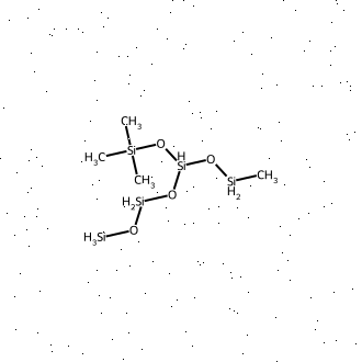 C[SiH2]O[SiH](O[SiH2]O[SiH3])O[Si](C)(C)C